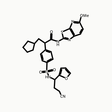 COc1ccc2nc(NC(=O)C(CC3CCCC3)c3ccc(S(=O)(=O)NC(CCC#N)c4ccco4)cc3)sc2n1